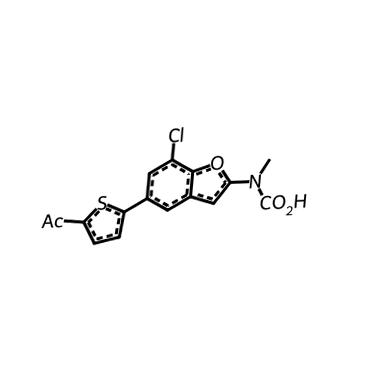 CC(=O)c1ccc(-c2cc(Cl)c3oc(N(C)C(=O)O)cc3c2)s1